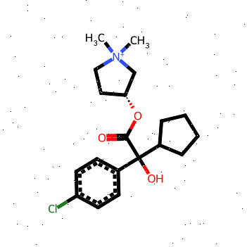 C[N+]1(C)CC[C@@H](OC(=O)C(O)(c2ccc(Cl)cc2)C2CCCC2)C1